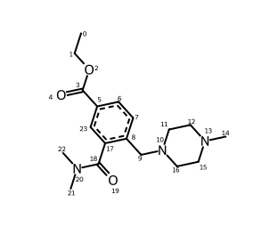 CCOC(=O)c1ccc(CN2CCN(C)CC2)c(C(=O)N(C)C)c1